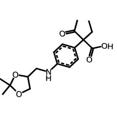 CCC(C(C)=O)(C(=O)O)c1ccc(NCC2COC(C)(C)O2)cc1